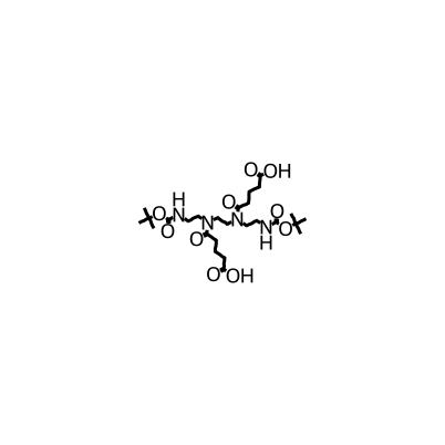 CC(C)(C)OC(=O)NCCN(CCN(CCNC(=O)OC(C)(C)C)C(=O)CCCC(=O)O)C(=O)CCCC(=O)O